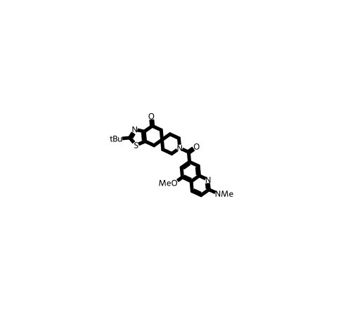 CNc1ccc2c(OC)cc(C(=O)N3CCC4(CC3)CC(=O)c3nc(C(C)(C)C)sc3C4)cc2n1